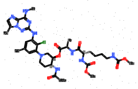 CCNc1nc(Nc2cc(C#N)cc(N3CC[C@@H](NC(=O)OC)[C@H](OC(=O)C(NC(=O)[C@H](CCCCNC(=O)OC(C)(C)C)NC(=O)OC(C)(C)C)C(C)C)C3)c2Cl)nn2c(C#N)cnc12